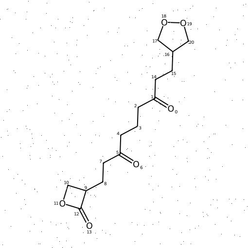 O=C(CCCC(=O)CCC1COC1=O)CCC1COOC1